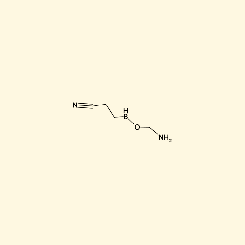 N#CCCBOCN